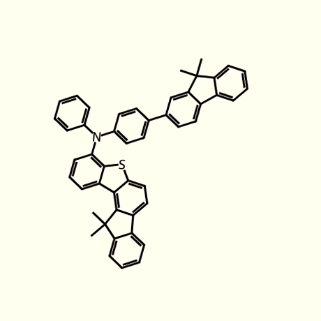 CC1(C)c2ccccc2-c2ccc(-c3ccc(N(c4ccccc4)c4cccc5c4sc4ccc6c(c45)C(C)(C)c4ccccc4-6)cc3)cc21